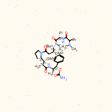 CC[C@H](C)[C@@H]([C@@H](CC(=O)N1CCC[C@H]1[C@H](OC)[C@@H](C)C(=O)N[C@H](C)[C@@H](OC(N)=O)c1ccccc1)OC)N(C)C(=O)[C@@H](NC(=O)C(C(C)C)N(C)C)C(C)C